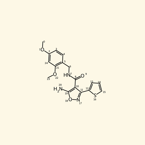 COc1ccc(CNC(=O)c2c(-c3cccs3)noc2N)c(OC)c1